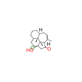 CC1=CC[C@@H]2[C@@H](C)CC[C@]3(C)C[C@@H](O)[C@@]4(Cl)CC(=O)[C@H]1[C@@]4(C)[C@@]23C